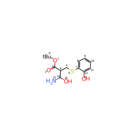 CC(C)(C)OC(=O)C(CSc1ccccc1O)C(N)O